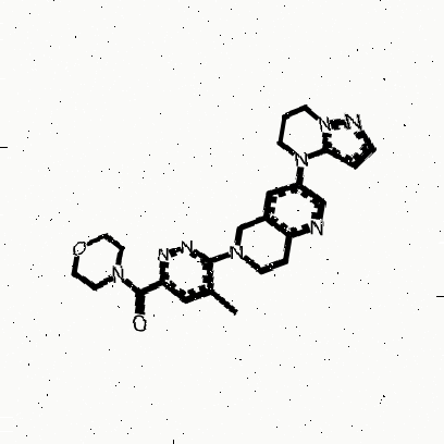 Cc1cc(C(=O)N2CCOCC2)nnc1N1CCc2ncc(N3CCCn4nccc43)cc2C1